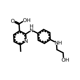 Cc1ccc(C(=O)O)c(Nc2ccc(NCCO)cc2)n1